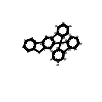 c1ccc2c(c1)Cc1cc3c(cc1-2)-c1ccccc1C31c2ccccc2-c2cnccc21